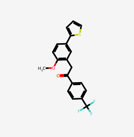 COc1ccc(-c2cccs2)cc1CC(=O)c1ccc(C(F)(F)F)cc1